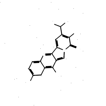 CCc1c2c(nc3c1cn1c(=O)c(C)c(C(O)CC)cc31)=CC=C(OC(C)=O)C2